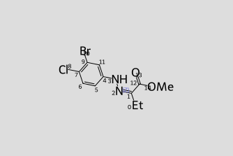 CC/C(=N/Nc1ccc(Cl)c(Br)c1)C(=O)OC